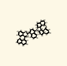 c1ccc2c(-c3nc(-c4ccc(-n5c6ccc7cccc8sc9cccc%10ccc5c(c%109)c6c78)c5ccccc45)nc4ccccc34)cccc2c1